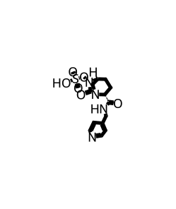 O=C(NCc1ccncc1)[C@H]1CC[C@H]2CN1C(=O)N2OS(=O)(=O)O